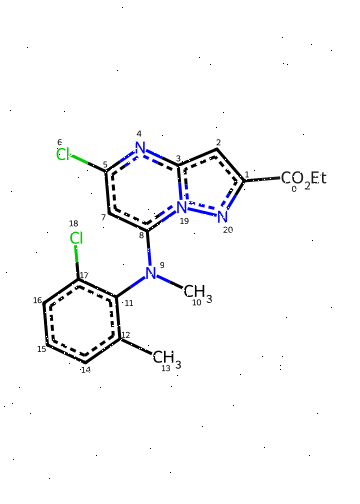 CCOC(=O)c1cc2nc(Cl)cc(N(C)c3c(C)cccc3Cl)n2n1